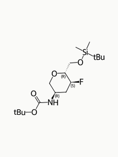 CC(C)(C)OC(=O)N[C@H]1CO[C@H](CO[Si](C)(C)C(C)(C)C)[C@@H](F)C1